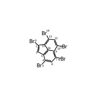 BrC1=Cc2c(Br)cc(Br)c3c(Br)cc(Br)c1c23